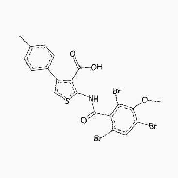 COc1c(Br)cc(Br)c(C(=O)Nc2scc(-c3ccc(C)cc3)c2C(=O)O)c1Br